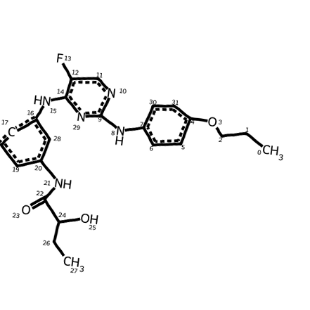 CCCOc1ccc(Nc2ncc(F)c(Nc3cccc(NC(=O)C(O)CC)c3)n2)cc1